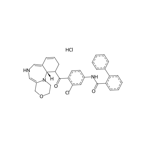 Cl.O=C(Nc1ccc(C(=O)C2CC=CC3=CNC=C4COCCN4[C@H]32)c(Cl)c1)c1ccccc1-c1ccccc1